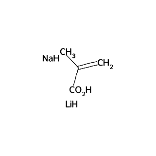 C=C(C)C(=O)O.[LiH].[NaH]